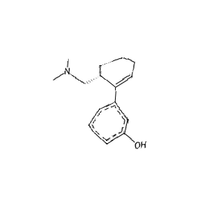 CN(C)C[C@@H]1CCCC=C1c1cccc(O)c1